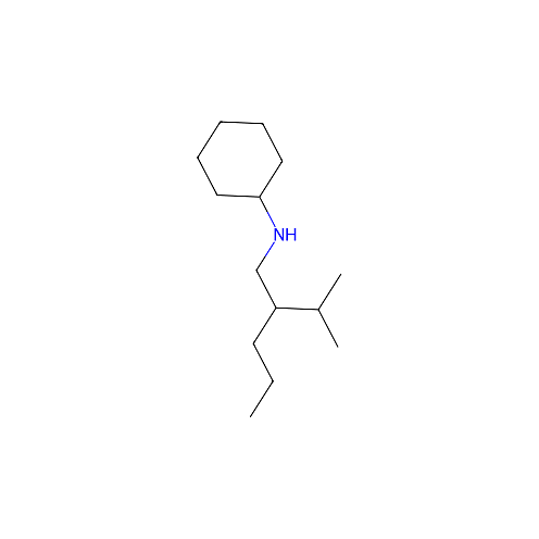 CCCC(CNC1CCCCC1)C(C)C